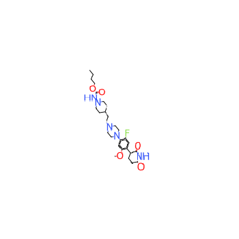 CCCCOC(=O)NN1CCC(CCN2CCN(c3cc(OC)c(C4CCC(=O)NC4=O)cc3F)CC2)CC1